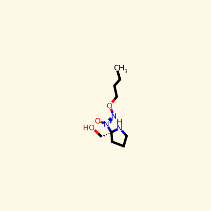 CCCCON=[N+]([O-])[C@]1(CO)CCCN1